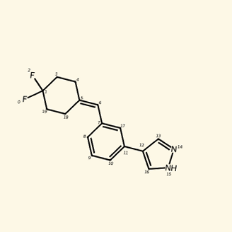 FC1(F)CCC(=Cc2cccc(-c3cn[nH]c3)c2)CC1